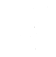 C=CC1CC1(NC(=O)OC(C)(C)C)C(=O)N(C)S(=O)(=O)C1CC1